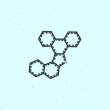 c1ccc2c(c1)ccc1sc3c4ccccc4c4ccccc4c3c12